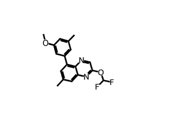 COc1cc(C)cc(-c2cc(C)cc3nc(OC(F)F)cnc23)c1